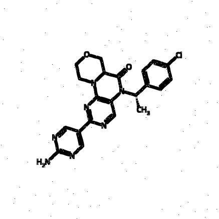 C[C@@H](c1ccc(Cl)cc1)N1C(=O)C2COCCN2c2nc(-c3cnc(N)nc3)ncc21